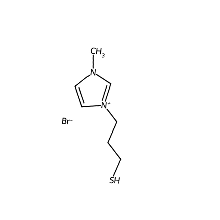 Cn1cc[n+](CCCS)c1.[Br-]